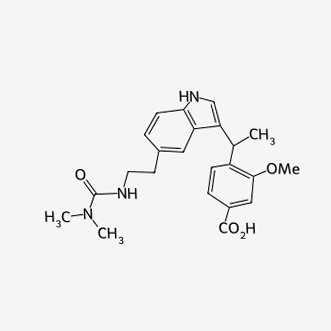 COc1cc(C(=O)O)ccc1C(C)c1c[nH]c2ccc(CCNC(=O)N(C)C)cc12